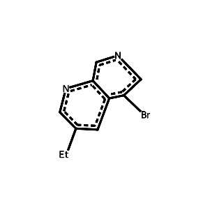 CCc1cnc2cncc(Br)c2c1